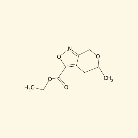 CCOC(=O)c1onc2c1CC(C)OC2